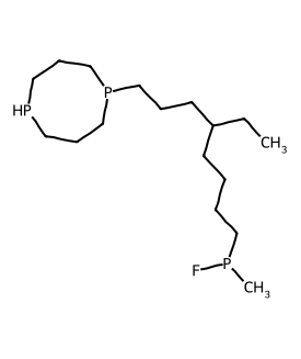 CCC(CCCCP(C)F)CCCP1CCCPCCC1